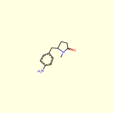 CN1C(=O)CCC1Cc1ccc(N)cc1